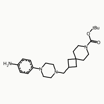 CC(C)(C)OC(=O)N1CCC2(CC1)CC(CN1CCN(c3ccc(N)cc3)CC1)C2